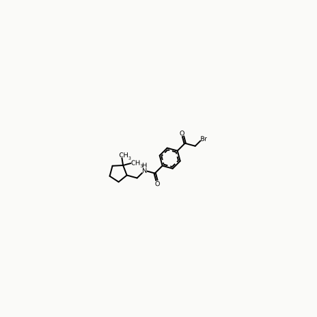 CC1(C)CCCC1CNC(=O)c1ccc(C(=O)CBr)cc1